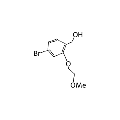 COCCOc1cc(Br)ccc1CO